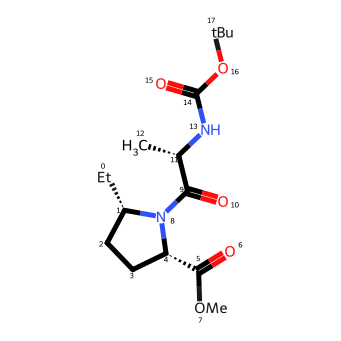 CC[C@H]1CC[C@@H](C(=O)OC)N1C(=O)[C@H](C)NC(=O)OC(C)(C)C